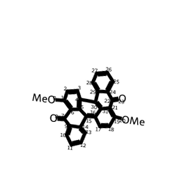 COc1ccc2c3c1c(=O)c1ccccc1c3c1ccc(OC)c3c(=O)c4ccccc4c2c31